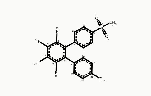 CS(=O)(=O)c1ccc(-c2c(F)c(F)c(F)c(F)c2-c2ccc(F)cc2)cc1